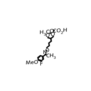 COc1ccc(C(C)=NOCCCCC2COC(C)(OC(=O)O)OC2)cc1F